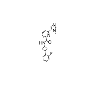 Cn1cncc1-c1ccnc(C(=O)NC2CC(c3ccccc3F)C2)n1